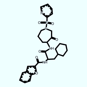 O=C(NC(CC1CCCCC1)C(=O)NC1CCCN(S(=O)(=O)c2ccccn2)CC1=O)c1cc2ccccc2o1